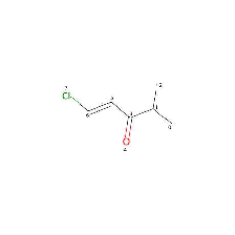 CC(C)C(=O)C=CCl